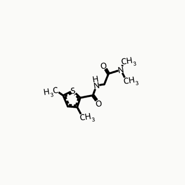 Cc1cc(C)c(C(=O)NCC(=O)N(C)C)s1